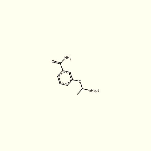 CCCCCCCC(C)Oc1cccc(C(N)=O)c1